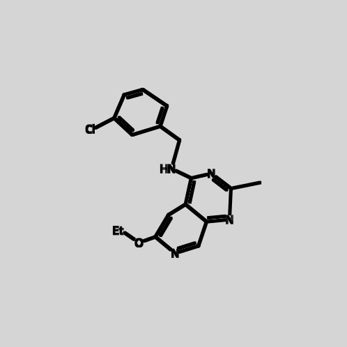 CCOc1cc2c(NCc3cccc(Cl)c3)nc(C)nc2cn1